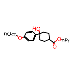 CCCCCCCCOc1ccc(C2(O)CCC(C(=O)OCCC)CC2)cc1